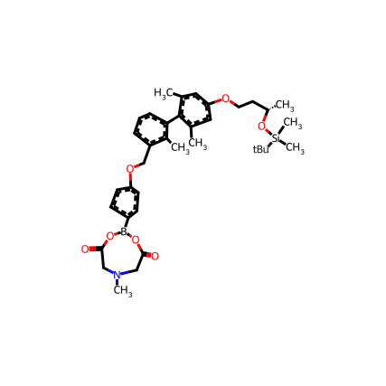 Cc1cc(OCC[C@H](C)O[Si](C)(C)C(C)(C)C)cc(C)c1-c1cccc(COc2ccc(B3OC(=O)CN(C)CC(=O)O3)cc2)c1C